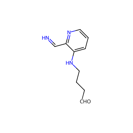 N=Cc1ncccc1NCCCC=O